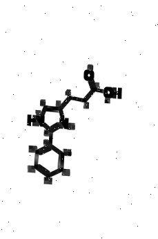 O=C(O)CCc1c[nH]c(-c2ccccc2)n1